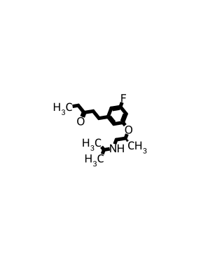 CCC(=O)CCc1cc(F)cc(O[C@@H](C)CNC(C)C)c1